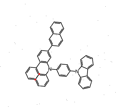 c1ccc(-c2ccc(-c3ccc4ccccc4c3)cc2N(c2ccccc2)c2ccc(-n3c4ccccc4c4ccccc43)cc2)cc1